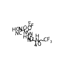 N#C/C(=N\O)C(=O)N[C@H](c1cn2ncc(C(NC(=O)CCC(F)(F)F)C3CC3)cc2n1)C1CCC(F)(F)CC1